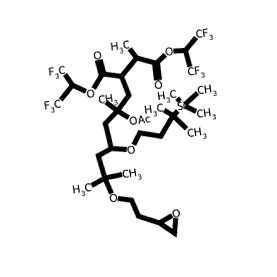 CC(=O)OC(C)(CC(CC(C)(C)OCCC1CO1)OCCC(C)(C)[Si](C)(C)C)CC(C(=O)OC(C(F)(F)F)C(F)(F)F)C(C)C(=O)OC(C(F)(F)F)C(F)(F)F